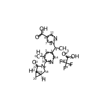 Cc1cc(C(C)n2cc(C(=O)O)cn2)cnc1N1C[C@H]2C[C@H]2C1=O.O=C(O)C(F)(F)F